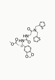 COC(=O)C[C@H](NC(=O)NCC(=O)N(Cc1cccs1)Cc1cccs1)c1ccc2c(c1)OCO2